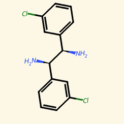 N[C@H](c1cccc(Cl)c1)[C@H](N)c1cccc(Cl)c1